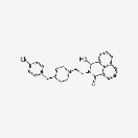 O=C1c2cccc3cccc(c23)C(O)N1CCN1CC=C(Cc2ccc(Cl)cc2)CC1